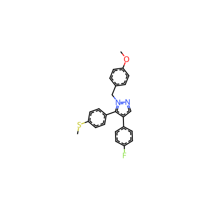 COc1ccc(Cn2ncc(-c3ccc(F)cc3)c2-c2ccc(SC)cc2)cc1